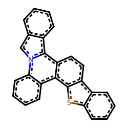 c1ccc2c(c1)cn1c3ccccc3c3c(ccc4c5ccccc5sc43)c21